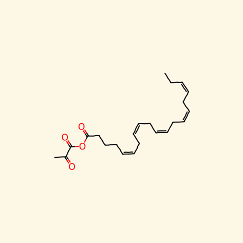 CC/C=C\C/C=C\C/C=C\C/C=C\C/C=C\CCCC(=O)OC(=O)C(C)=O